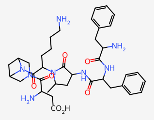 CC1CC(NC(=O)C(Cc2ccccc2)NC(=O)C(N)Cc2ccccc2)C(=O)N1C(CCCCN)C(=O)N1C2CC1CN(C(=O)C(N)CC(=O)O)C2